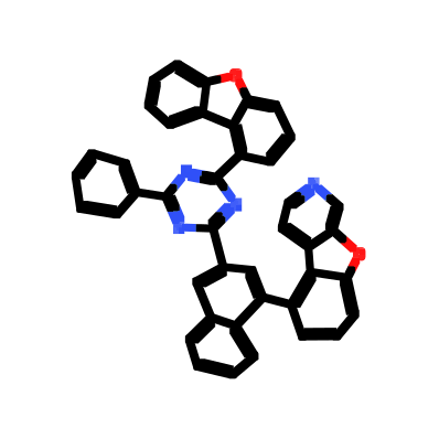 c1ccc(-c2nc(-c3cc(-c4cccc5oc6cnccc6c45)c4ccccc4c3)nc(-c3cccc4oc5ccccc5c34)n2)cc1